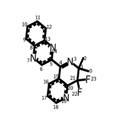 CC1(C)N=C(c2cnc3ccccc3n2)c2cccnc2C1(F)F